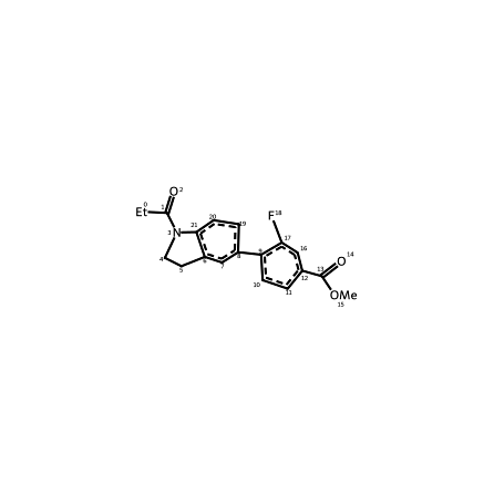 CCC(=O)N1CCc2cc(-c3ccc(C(=O)OC)cc3F)ccc21